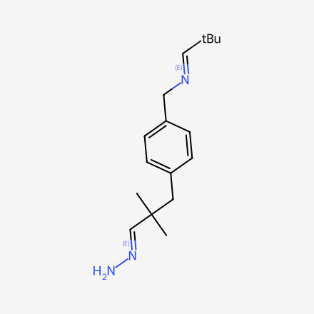 CC(C)(C)/C=N/Cc1ccc(CC(C)(C)/C=N/N)cc1